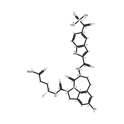 CNC(=O)CC[C@@H](C)NC(=O)[C@@H]1Cc2cc(C(C)C)cc3c2N1C(=O)[C@@H](NC(=O)c1cc2cc(C(=O)P(=O)(O)O)ccc2[nH]1)CC3